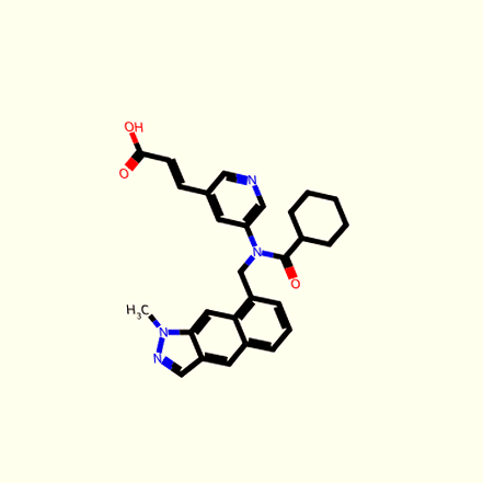 Cn1ncc2cc3cccc(CN(C(=O)C4CCCCC4)c4cncc(C=CC(=O)O)c4)c3cc21